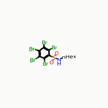 CCCCCCNS(=O)(=O)c1c(Br)c(Br)c(Br)c(Br)c1Br